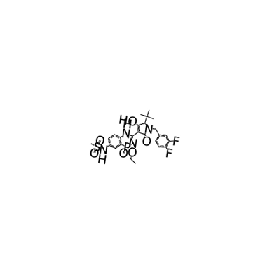 CCOP1(=O)N=C(C2=C(O)C(C(C)(C)C)N(Cc3ccc(F)c(F)c3)C2=O)Nc2ccc(NS(C)(=O)=O)cc21